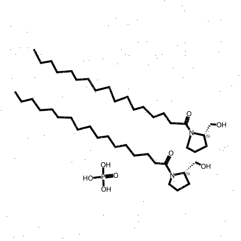 CCCCCCCCCCCCCCCCC(=O)N1CCC[C@H]1CO.CCCCCCCCCCCCCCCCC(=O)N1CCC[C@H]1CO.O=P(O)(O)O